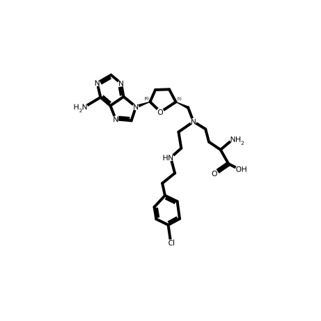 Nc1ncnc2c1ncn2[C@H]1CC[C@@H](CN(CCNCCc2ccc(Cl)cc2)CCC(N)C(=O)O)O1